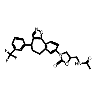 CC(=O)NCC1CN(c2ccc3c(c2)CCC(c2cccc(C(F)(F)F)c2)c2cnoc2-3)C(=O)O1